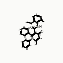 CCc1cccc(C)c1NC(=O)c1c(-c2ccncc2)n(-c2ccccc2)c(C)cc1=O